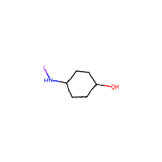 OC1CCC(NI)CC1